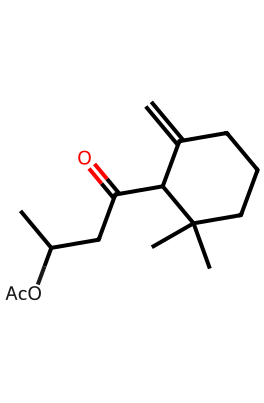 C=C1CCCC(C)(C)C1C(=O)CC(C)OC(C)=O